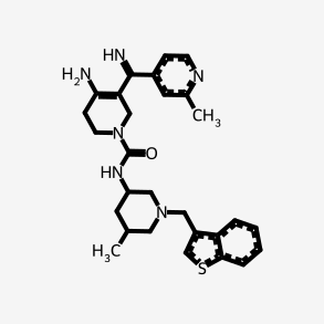 Cc1cc(C(=N)C2=C(N)CCN(C(=O)NC3CC(C)CN(Cc4csc5ccccc45)C3)C2)ccn1